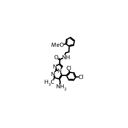 COc1ccccc1CCNC(=O)c1cn2c(-c3ccc(Cl)cc3Cl)c(CN)c(C)nc2n1